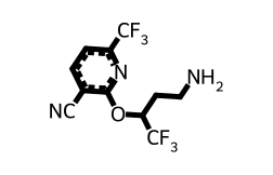 N#Cc1ccc(C(F)(F)F)nc1OC(CCN)C(F)(F)F